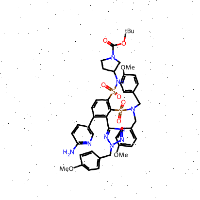 COc1ccc(CN(Cc2ccc(OC)cc2)S(=O)(=O)c2c(S(=O)(=O)NC3CCN(C(=O)OC(C)(C)C)C3)ccc(-c3ccc(N)nc3)c2-c2nnn(Cc3ccc(OC)cc3)n2)cc1